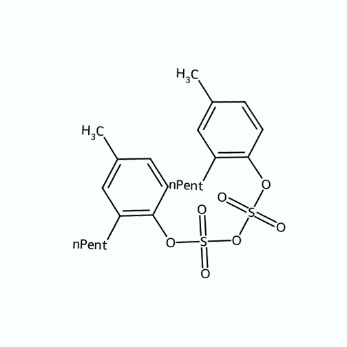 CCCCCc1cc(C)ccc1OS(=O)(=O)OS(=O)(=O)Oc1ccc(C)cc1CCCCC